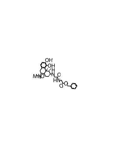 CO[C@@]12CCC(NCC(=O)NCC(=O)OCc3ccccc3)[C@H](C)C1(C)c1c(ccc(O)c1O)CC2N(C)C